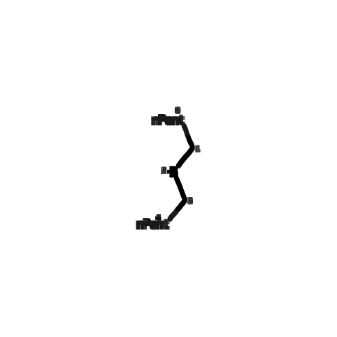 CCCCCC[B]CCCCCC